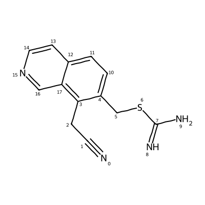 N#CCc1c(CSC(=N)N)ccc2ccncc12